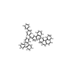 c1ccc(-c2ccc(N(c3ccc(-c4ccccc4)c(-c4ccccc4)c3)c3ccc(-c4ccc5c(ccc6ccc7ccccc7c65)c4)c(-c4ccccc4)c3)cc2)cc1